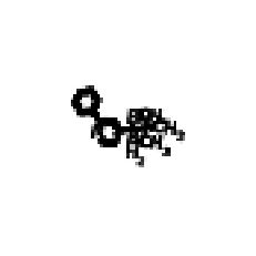 BC(B)(c1ccnc(-c2ccccc2)c1)C(C)(C)C